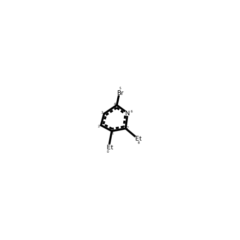 CCc1ccc(Br)nc1CC